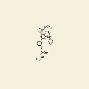 CNCC(O)COc1cccc(-c2nc(N[C@@H]3CCOC3)c(C)c(N3CCC[C@H]3COC)n2)c1